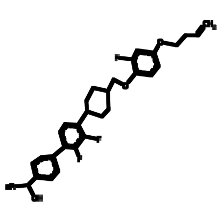 C=CCCOc1ccc(OCC2CCC(c3ccc(-c4ccc(C(O)CCC)cc4)c(F)c3F)CC2)c(F)c1